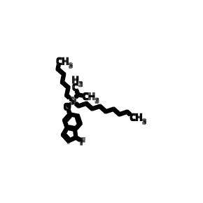 CCCCCCCCC[Si](CCCCCC)(Oc1ccc2c(c1)C=[C]C2F)C(C)C